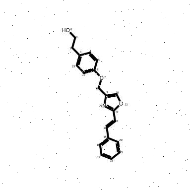 OCCc1ccc(OCc2coc(C=Cc3ccccc3)n2)cc1